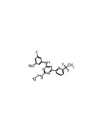 CSc1cc(F)cc(Nc2nc(NCC3CC3)nc(-c3cccc(C(C)(F)F)n3)n2)c1